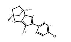 CCc1ccc(-c2nn3c(c2C(C)C)O[C@]2(C)CC[C@H]3C2)cn1